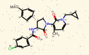 COc1ccc([C@@H]2CN(c3c(C)ccn(CC4CC4)c3=O)C(=O)C2NC(=O)c2ccc(Cl)cc2)cc1